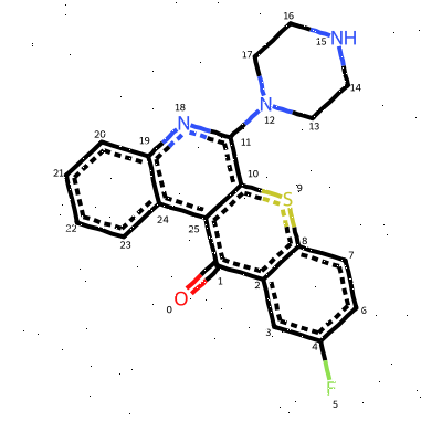 O=c1c2cc(F)ccc2sc2c(N3CCNCC3)nc3ccccc3c12